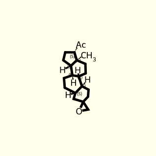 CC(=O)[C@H]1CC[C@H]2[C@@H]3CC[C@H]4CC5(CC[C@@H]4[C@H]3CC[C@]12C)CO5